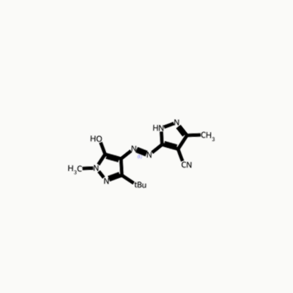 Cc1n[nH]c(/N=N/c2c(C(C)(C)C)nn(C)c2O)c1C#N